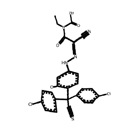 CCN(C(=O)O)C(=O)C(C#N)=NNc1ccc(C(C#N)(c2ccc(Cl)cc2)c2ccc(Cl)cc2)c(Cl)c1